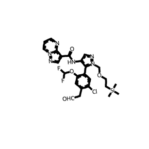 C[Si](C)(C)CCOCn1ncc(NC(=O)c2cnn3cccnc23)c1-c1cc(Cl)c(CC=O)cc1OC(F)F